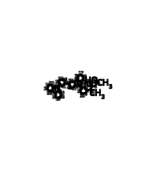 CC(O)CC(O)C(C)c1cccc(-n2c3ccccc3c3cc(-c4cccc(-n5c6ccccc6c6ccccc65)c4)ccc32)c1